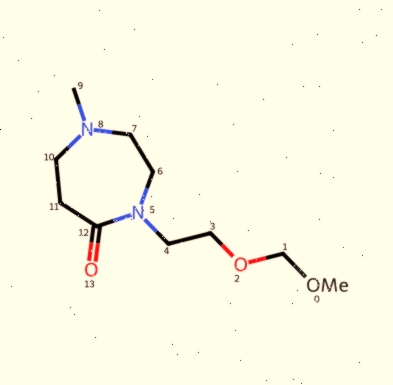 COCOCCN1CCN(C)CCC1=O